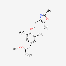 CCCO[C@@H](Cc1cc(C)c(OCCc2nc(C(C)(C)C)oc2C)c(C)c1)C(=O)O